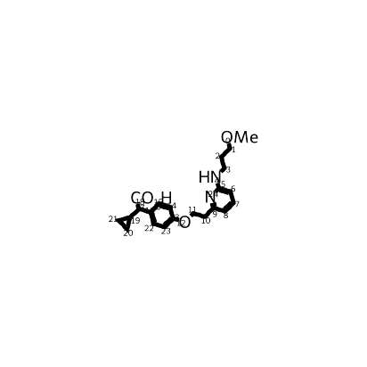 COCCCNc1cccc(CCOc2ccc(C(C(=O)O)C3CC3)cc2)n1